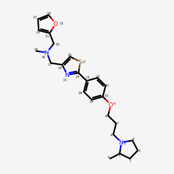 CC1CCCN1CCCOc1ccc(-c2nc(CN(C)Cc3ccco3)cs2)cc1